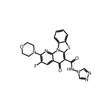 O=C(Nn1cnnc1)c1c(=O)c2cc(F)c(N3CCOCC3)nc2n2c1sc1ccccc12